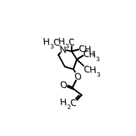 C=CC(=O)OC1CCN(C)C(C)(C)C1(C)C